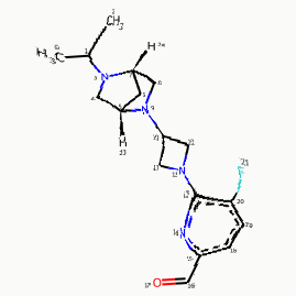 CC(C)N1C[C@@H]2C[C@H]1CN2C1CN(c2nc(C=O)ccc2F)C1